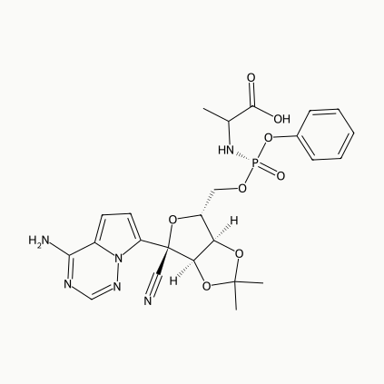 CC(N[P@](=O)(OC[C@H]1O[C@@](C#N)(c2ccc3c(N)ncnn23)[C@@H]2OC(C)(C)O[C@@H]21)Oc1ccccc1)C(=O)O